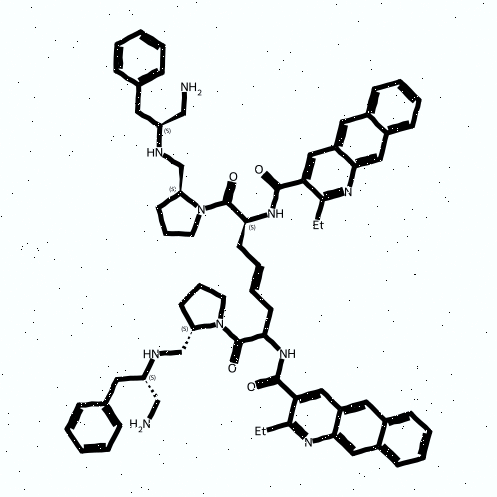 CCc1nc2cc3ccccc3cc2cc1C(=O)NC(CC=CC[C@H](NC(=O)c1cc2cc3ccccc3cc2nc1CC)C(=O)N1CCC[C@H]1CN[C@H](CN)Cc1ccccc1)C(=O)N1CCC[C@H]1CN[C@H](CN)Cc1ccccc1